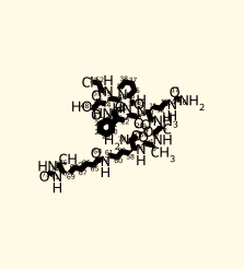 C[C@H](NC(=O)[C@H](C)NC(=O)[C@H](CCCNC(N)=O)NC(=O)[C@H](Cc1c[nH]c2ccccc12)NC(=O)[C@@H]1CCCCN1C(=O)[C@H](CCC(=O)O)NC(=O)CCl)C(=O)N[C@@H](CCCCNC(=O)CCCCC[C@@H]1NC(=O)N[C@@H]1C)C(N)=O